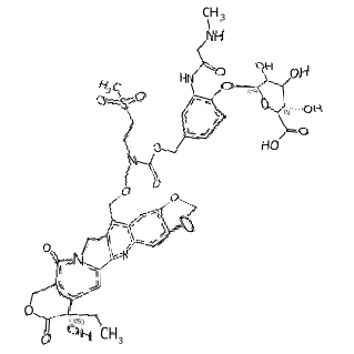 CC[C@@]1(O)C(=O)OCc2c1cc1n(c2=O)Cc2c-1nc1cc3c(cc1c2COCN(CCS(C)(=O)=O)C(=O)OCc1ccc(O[C@@H]2OC(C(=O)O)[C@@H](O)C(O)C2O)c(NC(=O)CNC)c1)OCO3